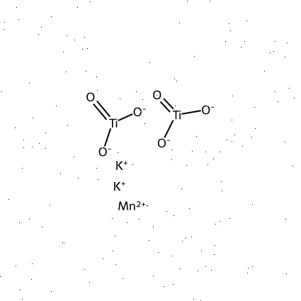 [K+].[K+].[Mn+2].[O]=[Ti]([O-])[O-].[O]=[Ti]([O-])[O-]